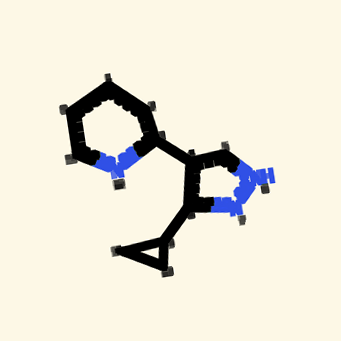 c1ccc(-c2c[nH]nc2C2CC2)nc1